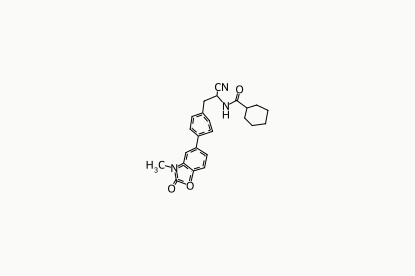 Cn1c(=O)oc2ccc(-c3ccc(CC(C#N)NC(=O)C4CCCCC4)cc3)cc21